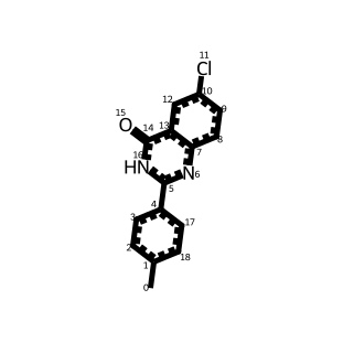 Cc1ccc(-c2nc3ccc(Cl)cc3c(=O)[nH]2)cc1